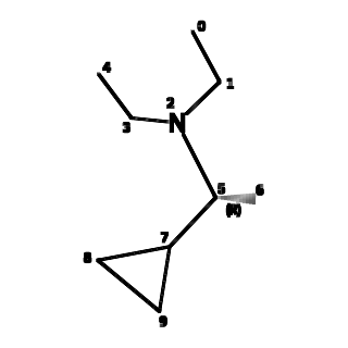 CCN(CC)[C@H](C)C1CC1